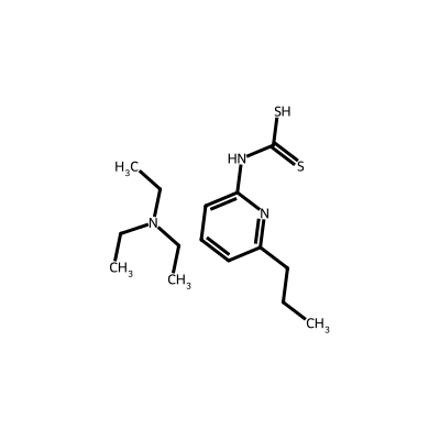 CCCc1cccc(NC(=S)S)n1.CCN(CC)CC